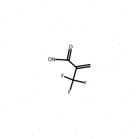 C=C(C(=O)N=O)C(F)(F)F